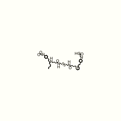 C=C\C=C/C=C(/C=C/c1ccc(N(C)CC(=O)[O-])cc1)NCCCC(=O)NCCSSCCNC(=O)CCC[n+]1ccccc1/C=C/c1ccc(N(C)CC(=O)O)cc1